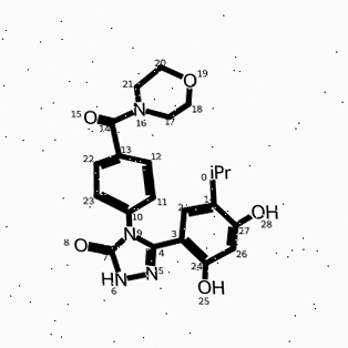 CC(C)c1cc(-c2n[nH]c(=O)n2-c2ccc(C(=O)N3CCOCC3)cc2)c(O)cc1O